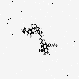 CCC1(c2cc(F)c(OC)c([C@H](C(=O)O)N3CC[C@@H](OCCCCCc4cc(OC)c5c(n4)NCCC5)C3)c2)CC1